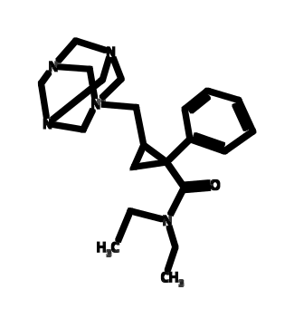 CCN(CC)C(=O)C1(c2ccccc2)CC1C[N+]12CN3CN(CN(C3)C1)C2